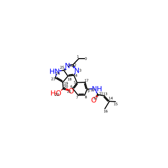 CCc1nc(-c2cccc(NC(=O)C=C(C)C)c2)c2c(C(=O)O)c[nH]c2n1